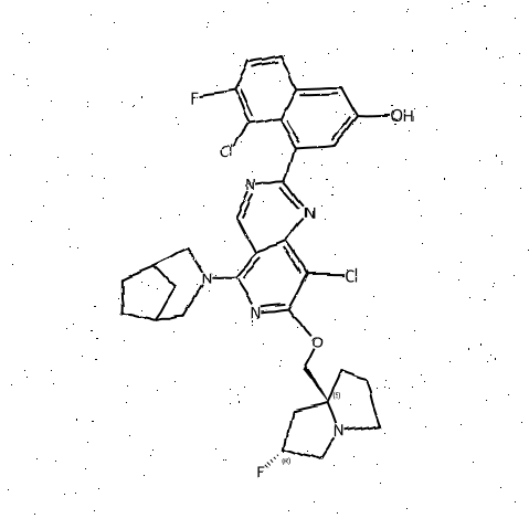 Oc1cc(-c2ncc3c(N4CC5CCC(C5)C4)nc(OC[C@@]45CCCN4C[C@H](F)C5)c(Cl)c3n2)c2c(Cl)c(F)ccc2c1